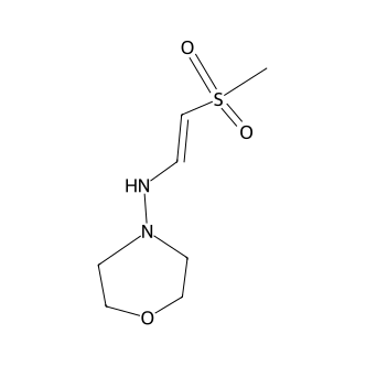 CS(=O)(=O)C=CNN1CCOCC1